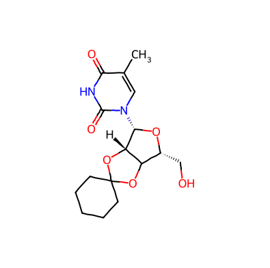 Cc1cn([C@@H]2O[C@H](CO)C3OC4(CCCCC4)O[C@@H]32)c(=O)[nH]c1=O